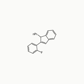 CCC[C]1C(c2ccccc2F)=Cc2ccccc21